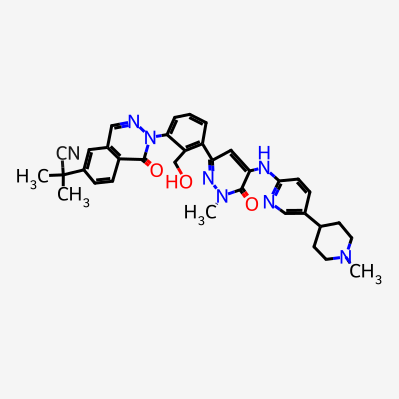 CN1CCC(c2ccc(Nc3cc(-c4cccc(-n5ncc6cc(C(C)(C)C#N)ccc6c5=O)c4CO)nn(C)c3=O)nc2)CC1